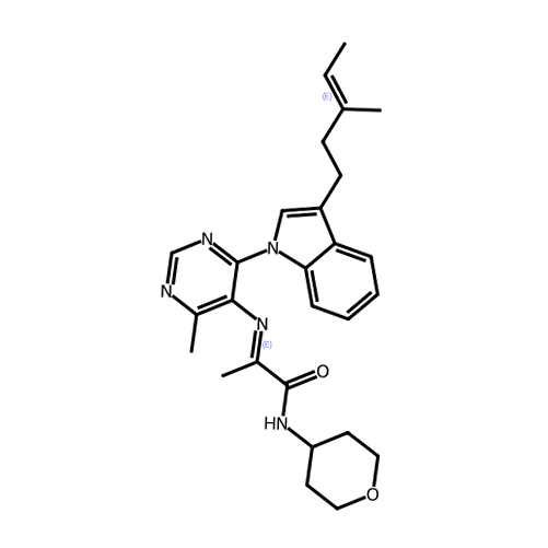 C/C=C(\C)CCc1cn(-c2ncnc(C)c2/N=C(\C)C(=O)NC2CCOCC2)c2ccccc12